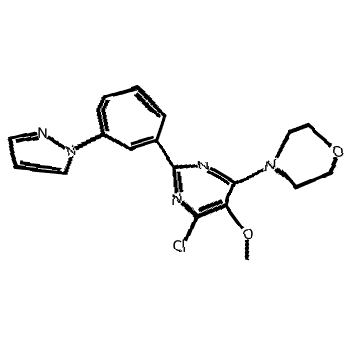 COc1c(Cl)nc(-c2cccc(-n3cccn3)c2)nc1N1CCOCC1